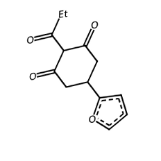 CCC(=O)C1C(=O)CC(c2ccco2)CC1=O